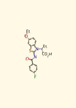 CCOc1ccc2c(c1)s/c(=N\C(=O)c1ccc(F)cc1)n2C(CC)C(=O)O